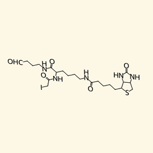 O=CCCCNC(=O)C(CCCCNC(=O)CCCCC1SCC2NC(=O)NC21)NC(=O)CI